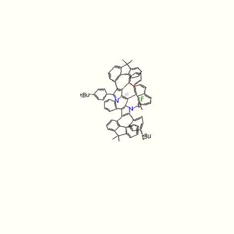 CB(F)n1c(/C(=C2\N=C(c3ccc(C(C)(C)C)cc3)C(c3cccc4c3-c3ccccc3C4(C)C)=C2c2ccccc2)c2cccc3ccccc23)c(-c2ccccc2)c(-c2cccc3c2-c2ccccc2C3(C)C)c1-c1ccc(C(C)(C)C)cc1